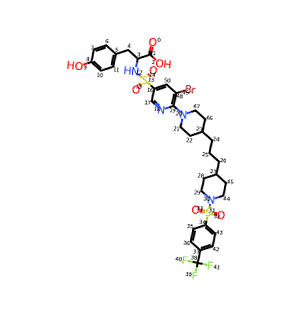 O=C(O)C(Cc1ccc(O)cc1)NS(=O)(=O)c1cnc(N2CCC(CCCC3CCN(S(=O)(=O)c4ccc(C(F)(F)F)cc4)CC3)CC2)c(Br)c1